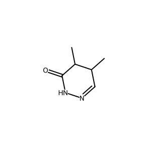 CC1C=NNC(=O)C1C